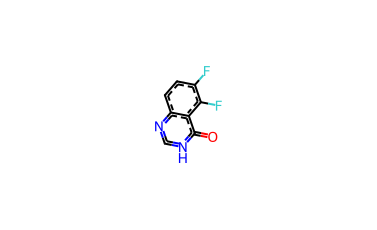 O=c1[nH]cnc2ccc(F)c(F)c12